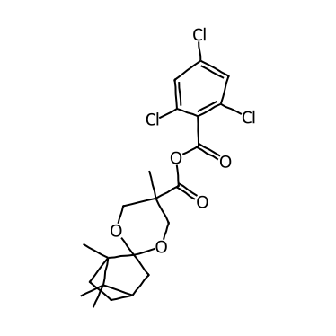 CC1(C(=O)OC(=O)c2c(Cl)cc(Cl)cc2Cl)COC2(CC3CCC2(C)C3(C)C)OC1